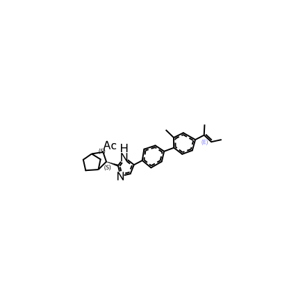 C/C=C(\C)c1ccc(-c2ccc(-c3cnc([C@H]4C5CCC(C5)[C@@H]4C(C)=O)[nH]3)cc2)c(C)c1